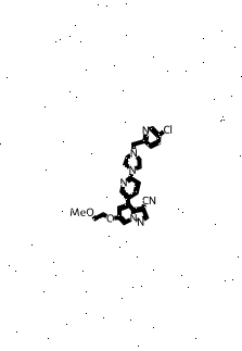 COCCOc1cc(-c2ccc(N3CCN(Cc4ccc(Cl)cn4)CC3)nc2)c2c(C#N)cnn2c1